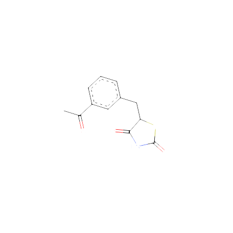 CC(=O)c1cccc(CC2SC(=O)NC2=O)c1